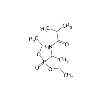 CCOP(=O)(OCC)C(C)NC(=O)C(C)C